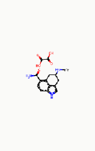 CCCNC1Cc2c[nH]c3ccc(C(N)=O)c(c23)C1.O=C(O)C(=O)O